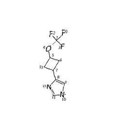 FC(F)(F)OC1CC(C2=C[N]C=N2)C1